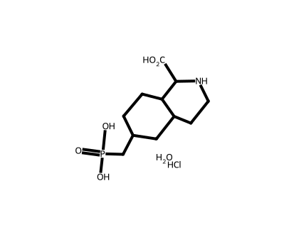 Cl.O.O=C(O)C1NCCC2CC(CP(=O)(O)O)CCC21